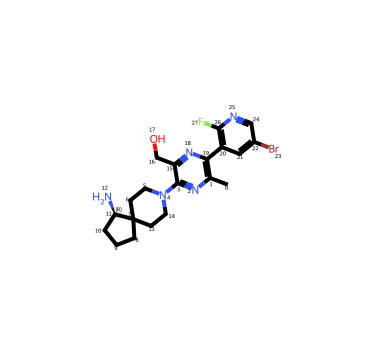 Cc1nc(N2CCC3(CCC[C@H]3N)CC2)c(CO)nc1-c1cc(Br)cnc1F